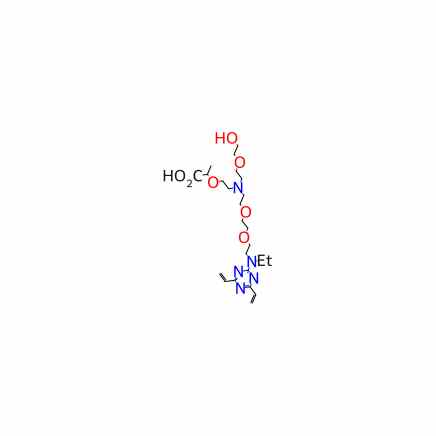 C=Cc1nc(C=C)nc(N(CC)CCOCCOCCN(CCOCCO)CCOC(C)C(=O)O)n1